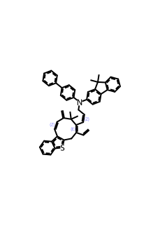 C=C/C1=C(\C=C/CN(c2ccc(-c3ccccc3)cc2)c2ccc3c(c2)C(C)(C)c2ccccc2-3)C(C)(C)C(=C)/C=C\c2c(sc3ccccc23)C1